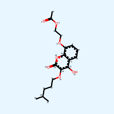 CC(=O)OCCOc1cccc2c(O)c(OCCCC(C)C)c(=O)oc12